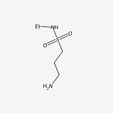 CCNS(=O)(=O)CCCN